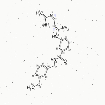 C=C(N)/N=C\C=C(/N)Nc1cccc(C(=O)NCc2cccc(OC)c2)c1